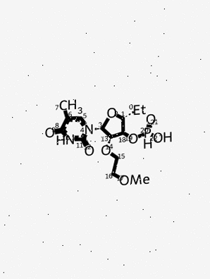 CC[C@H]1O[C@@H](n2cc(C)c(=O)[nH]c2=O)[C@@H](OCCOC)C1O[PH](=O)O